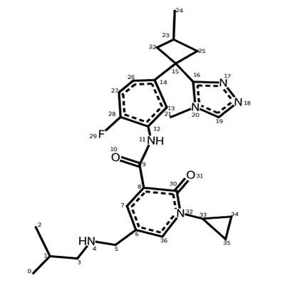 CC(C)CNCc1cc(C(=O)Nc2cc(C3(c4nncn4C)CC(C)C3)ccc2F)c(=O)n(C2CC2)c1